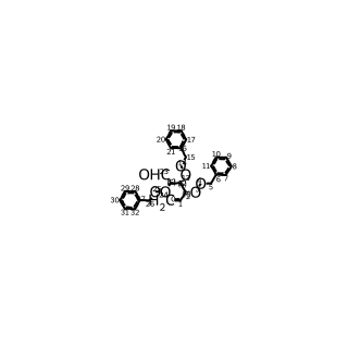 C=C[C@@H](OOCc1ccccc1)[C@H](OOCc1ccccc1)[C@@H](C=O)OOCc1ccccc1